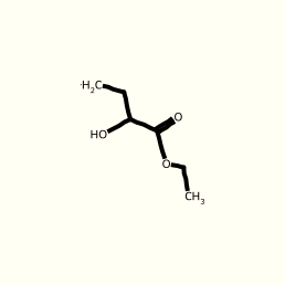 [CH2]CC(O)C(=O)OCC